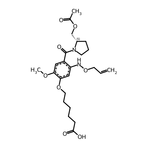 C=CCONc1cc(OCCCCCC(=O)O)c(OC)cc1C(=O)N1CCC[C@H]1COC(C)=O